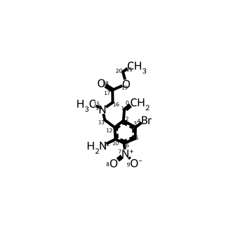 C=Cc1c(Br)cc([N+](=O)[O-])c(N)c1CN(C)CC(=O)OCC